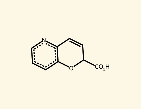 O=C(O)C1C=Cc2ncccc2O1